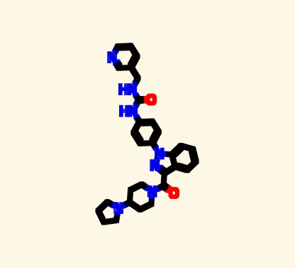 O=C(NCc1cccnc1)Nc1ccc(-n2nc(C(=O)N3CCC(N4CCCC4)CC3)c3ccccc32)cc1